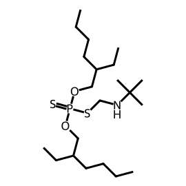 CCCCC(CC)COP(=S)(OCC(CC)CCCC)SCNC(C)(C)C